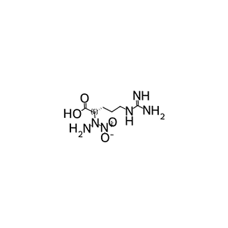 N=C(N)NCCC[C@@H](C(=O)O)N(N)[N+](=O)[O-]